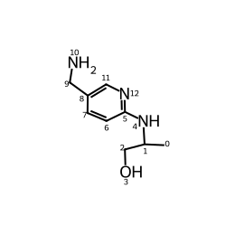 CC(CO)Nc1ccc(CN)cn1